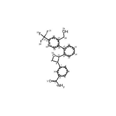 NC(=O)c1cccc(C2COC2c2ccccc2-c2cnc(C(F)(F)F)cc2CO)c1